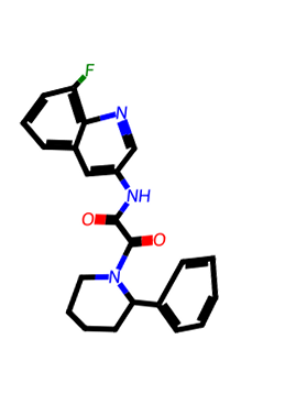 O=C(Nc1cnc2c(F)cccc2c1)C(=O)N1CCCCC1c1ccccc1